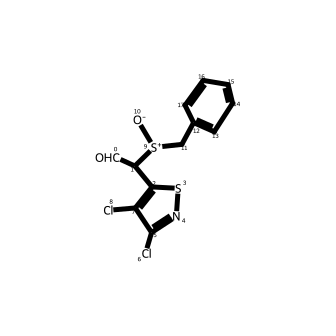 O=CC(c1snc(Cl)c1Cl)[S+]([O-])Cc1ccccc1